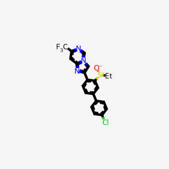 CC[S+]([O-])c1cc(-c2ccc(Cl)cc2)ccc1-c1cn2cnc(C(F)(F)F)cc2n1